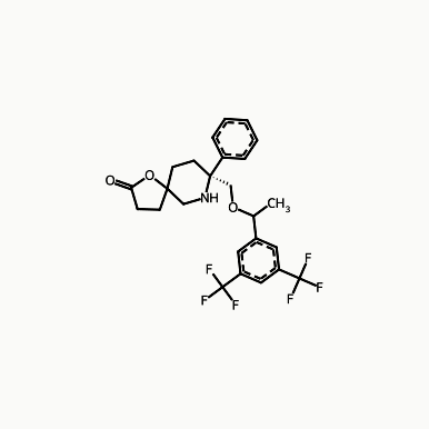 CC(OC[C@@]1(c2ccccc2)CCC2(CCC(=O)O2)CN1)c1cc(C(F)(F)F)cc(C(F)(F)F)c1